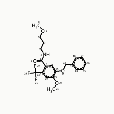 COCCCNC(=O)c1cc(OCc2ccccc2)c(OC)cc1C(F)(F)F